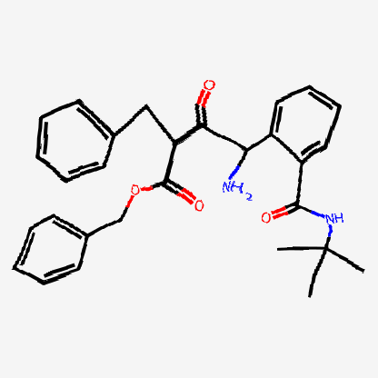 CC(C)(C)NC(=O)c1ccccc1C(N)C(=O)C(Cc1ccccc1)C(=O)OCc1ccccc1